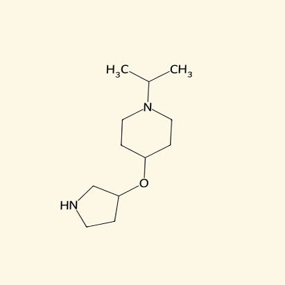 CC(C)N1CCC(OC2CCNC2)CC1